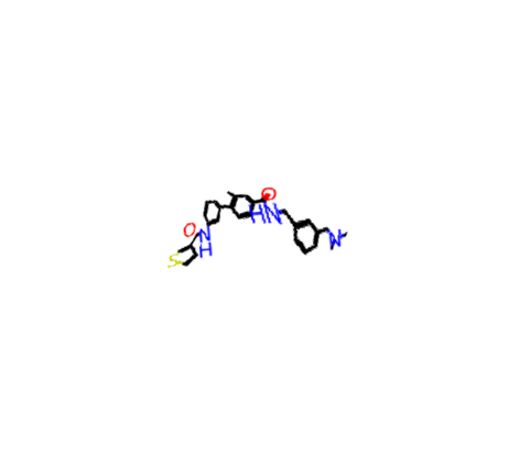 Cc1cc(C(=O)NCc2cccc(CN(C)C)c2)ccc1-c1cccc(NC(=O)c2ccsc2)c1